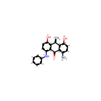 C=C1c2c(O)ccc(Nc3ccccc3)c2C(=O)c2c([N+](=O)[O-])ccc(O)c21